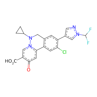 O=C(O)c1cn2c(cc1=O)-c1cc(Cl)c(-c3cnn(C(F)F)c3)cc1CN2C1CC1